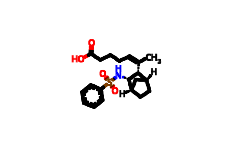 C/C(=C/CCCC(=O)O)[C@@H]1[C@@H]2CC[C@@H](C2)[C@@H]1NS(=O)(=O)c1ccccc1